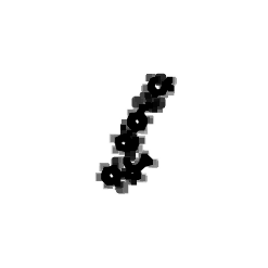 CC1(C)CC(S(=O)(=O)NC(=O)c2ccc(N3CCC4(OCc5c(C6CC6)cnn5-c5c(Cl)cccc5Cl)CC[C@H]3C4)cc2)CCO1